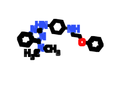 CN(C)c1nc(N[C@H]2CC[C@@H](NCCOc3ccccc3)CC2)nc2ccccc12